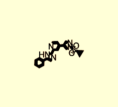 O=S(=O)(C1CC1)n1cc(-c2ccnc(-c3ncc(-c4ccccc4)[nH]3)c2)cn1